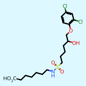 O=C(O)CCCCCCNS(=O)(=O)CCCCC(O)COc1ccc(Cl)cc1Cl